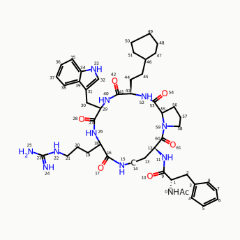 CC(=O)N[C@@H](Cc1ccccc1)C(=O)N[C@H]1CCNC(=O)C(CCCNC(=N)N)NC(=O)C(Cc2c[nH]c3ccccc23)NC(=O)[C@@H](CCC2CCCCC2)NC(=O)C2CCCN2C1=O